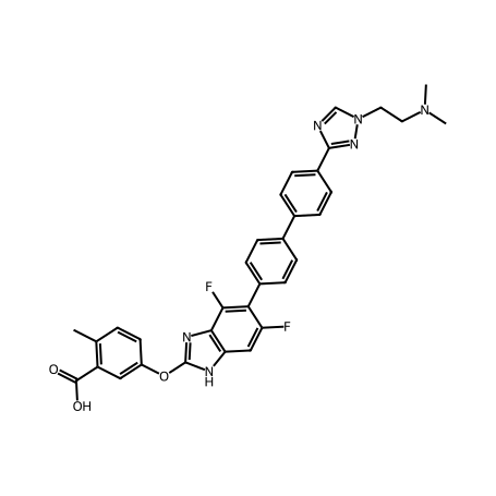 Cc1ccc(Oc2nc3c(F)c(-c4ccc(-c5ccc(-c6ncn(CCN(C)C)n6)cc5)cc4)c(F)cc3[nH]2)cc1C(=O)O